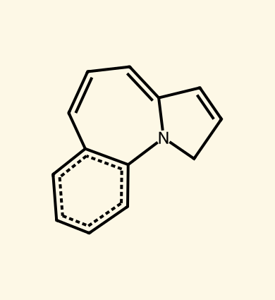 C1=Cc2ccccc2N2CC=CC2=C1